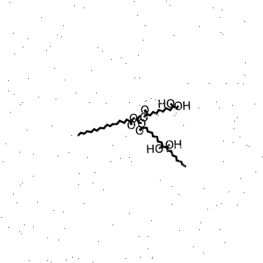 CCCCCCCCCCCCCCCCC(=O)OC(COC(=O)CCCCCCCC(O)CO)COC(=O)CCCCCCCC(O)C(O)CCCCCCCC